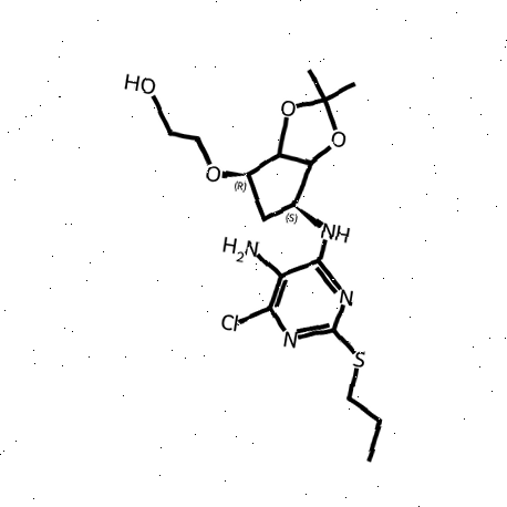 CCCSc1nc(Cl)c(N)c(N[C@H]2C[C@@H](OCCO)C3OC(C)(C)OC32)n1